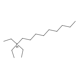 CCCCCCCCC[PH](CC)(CC)CC